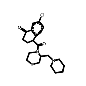 O=C1CCC(C(=O)N2CCSCC2CN2CCCCC2)c2ccc(Cl)cc21